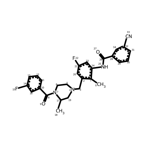 Cc1c(CN2CCN(C(=O)c3cccc(F)c3)C(C)C2)cc(F)cc1NC(=O)c1cccc(C#N)c1